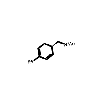 CNC[C@H]1C=CC(C(C)C)=CC1